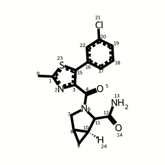 Cc1nc(C(=O)N2CC3C[C@@H]3C2C(N)=O)c(-c2cccc(Cl)c2)s1